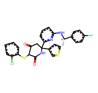 C[C@H](Nc1cccc(C2(c3ccsc3)CC(=O)C(Sc3ccccc3Cl)C(=O)N2)n1)c1ccc(F)cc1